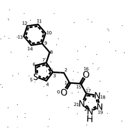 O=C(Cc1cscc1Cc1ccccc1)C(=O)c1nn[nH]n1